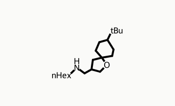 CCCCCCNCC1COC2(CCC(C(C)(C)C)CC2)C1